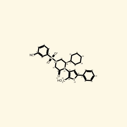 N#Cc1cccc(S(=O)(=O)N2CC(=O)N(c3cc(-c4ccccc4)sc3C(=O)O)[C@H](C3CCCCC3)C2)c1